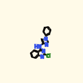 Clc1nc(Nc2cn(-c3ccccc3)cn2)c2ccccc2n1